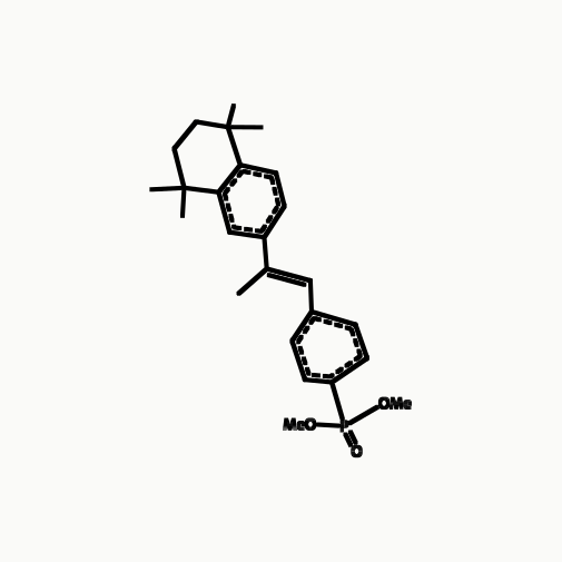 COP(=O)(OC)c1ccc(C=C(C)c2ccc3c(c2)C(C)(C)CCC3(C)C)cc1